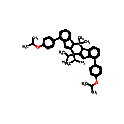 CC(C)Oc1ccc(-c2cccc3c2C=C2[CH]3[Hf]([CH3])([CH3])[CH]3C(=Cc4c(-c5ccc(OC(C)C)cc5)cccc43)[Si]2(C(C)C)C(C)C)cc1